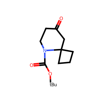 CC(C)(C)OC(=O)N1CCC(=O)CC12CCC2